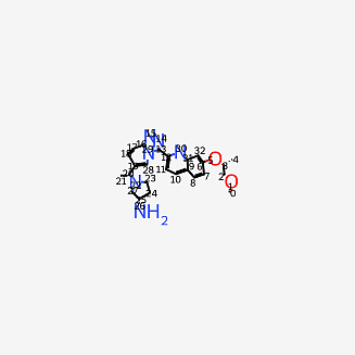 COC[C@@H](C)Oc1ccc2ccc(-c3nnc4ccc([C@H](C)N5CC[C@H](N)C5)cn34)nc2c1